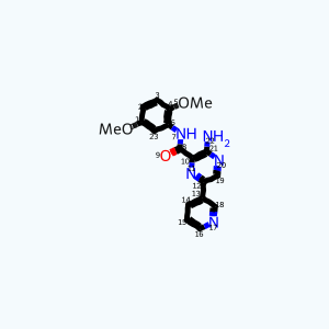 COc1ccc(OC)c(NC(=O)c2nc(-c3cccnc3)cnc2N)c1